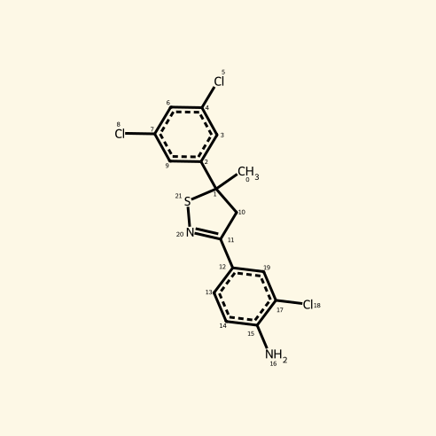 CC1(c2cc(Cl)cc(Cl)c2)CC(c2ccc(N)c(Cl)c2)=NS1